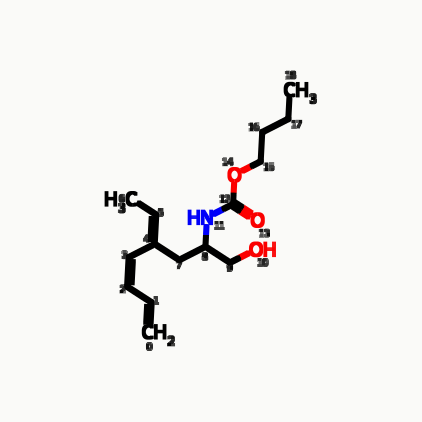 C=C/C=C\C(=C/C)CC(CO)NC(=O)OCCCC